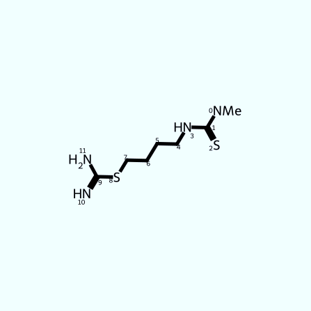 CNC(=S)NCCCCSC(=N)N